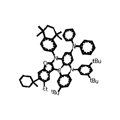 CCc1cc2c3c(oc2cc1C1(C)CCCCC1)N(c1ccc2c(c1)C(C)(C)CCC2(C)C)c1cc(N(c2ccccc2)c2ccccc2)cc2c1B3c1cc(C(C)(C)C)ccc1N2c1cc(C(C)(C)C)cc(C(C)(C)C)c1